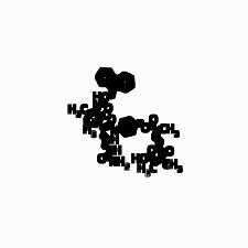 CC(C)[C@H](NC(=O)OCC1c2ccccc2-c2ccccc21)C(=O)N[C@@H](CCCNC(N)=O)C(=O)Nc1ccc(COC(=O)N(C)CCCC(=O)N(C)C(C)C(=O)O)cc1